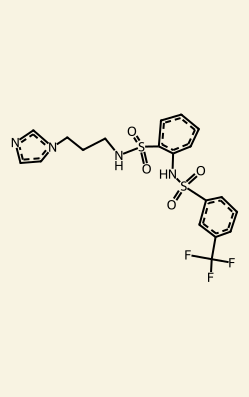 O=S(=O)(Nc1ccccc1S(=O)(=O)NCCCn1ccnc1)c1cccc(C(F)(F)F)c1